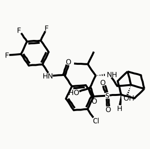 CC(C)[C@H](NC[C@]1(O)C2CC1C[C@@H](S(=O)(=O)c1cc(C(=O)Nc3cc(F)c(F)c(F)c3)ccc1Cl)C2)C(=O)O